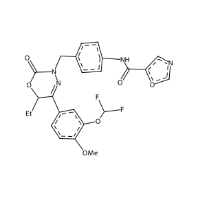 CCC1OC(=O)N(Cc2ccc(NC(=O)c3cnco3)cc2)N=C1c1ccc(OC)c(OC(F)F)c1